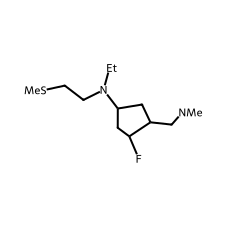 CCN(CCSC)C1CC(F)C(CNC)C1